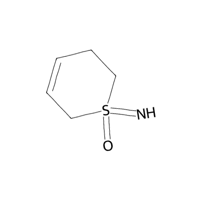 N=S1(=O)CC=CCC1